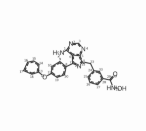 Nc1ncnc2c1c(-c1ccc(Oc3ccccc3)cc1)nn2Cc1cccc(C(=O)NO)c1